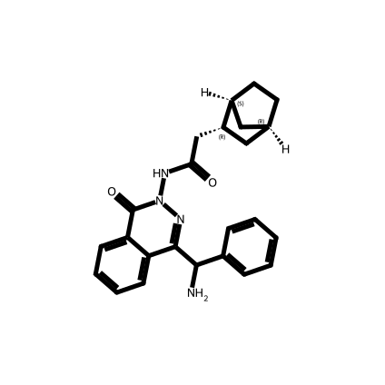 NC(c1ccccc1)c1nn(NC(=O)C[C@H]2C[C@@H]3CC[C@H]2C3)c(=O)c2ccccc12